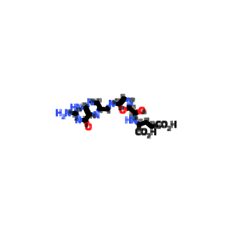 Nc1nc(=O)c2nc(/C=N/c3cnc(C(=O)NC(CCC(=O)O)C(=O)O)o3)cnc2[nH]1